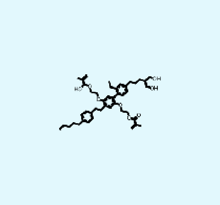 C=C(C)C(=O)OCCOc1cc(CCc2ccc(CCCCC)cc2)c(OCCOC(O)C(=C)C)cc1-c1ccc(CCCC(CO)CO)cc1CC